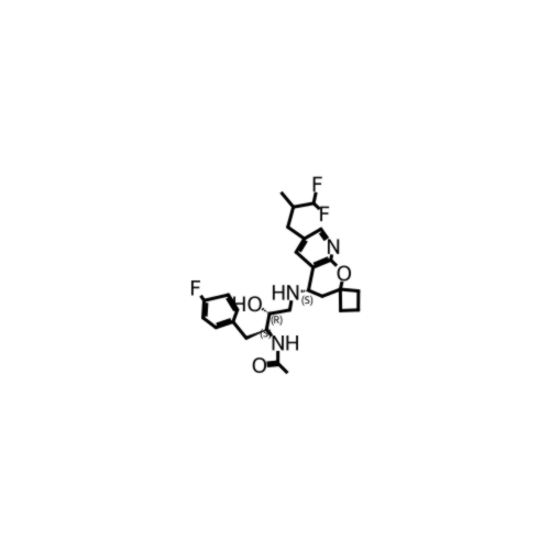 CC(=O)N[C@@H](Cc1ccc(F)cc1)[C@H](O)CN[C@H]1CC2(CCC2)Oc2ncc(CC(C)C(F)F)cc21